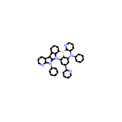 c1ccc(N2c3cccnc3B3c4c2cc(-c2ccccn2)cc4-n2c4c3cccc4c3c4cccnc4n(-c4ccccc4)c32)cc1